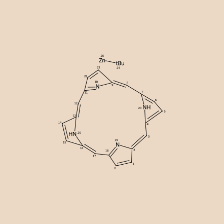 C1=Cc2cc3ccc(cc4nc(cc5ccc(cc1n2)[nH]5)C=C4)[nH]3.C[C](C)(C)[Zn]